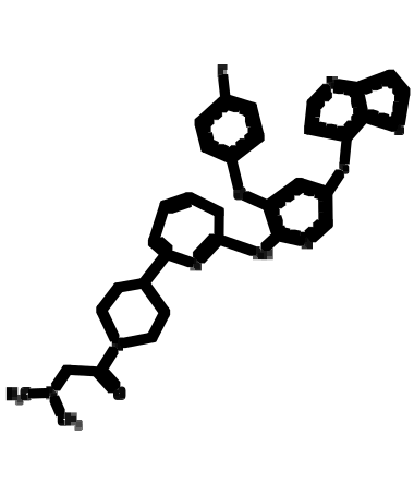 CN(C)CC(=O)N1CCC(C2=CC=CCC(Nc3ncc(Sc4ccnc5ccsc45)cc3Oc3ccc(F)cc3)=N2)CC1